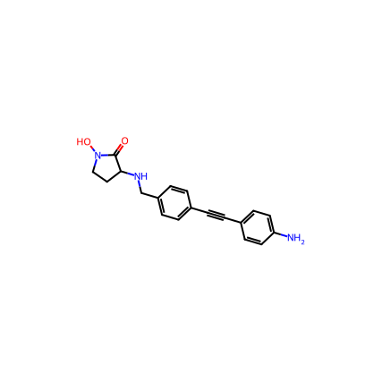 Nc1ccc(C#Cc2ccc(CNC3CCN(O)C3=O)cc2)cc1